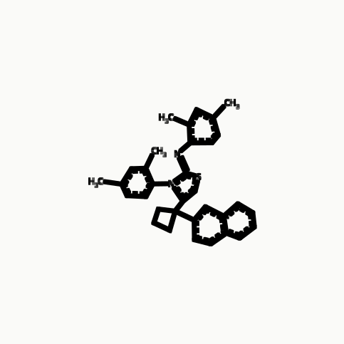 Cc1ccc(N=c2scc(C3(c4ccc5ccccc5c4)CCC3)n2-c2ccc(C)cc2C)c(C)c1